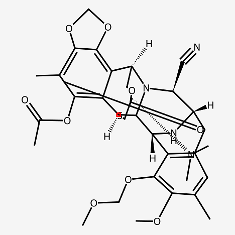 COCOc1c(OC)c(C)cc2c1[C@H]1N[C@@H](C2)[C@H](C#N)N2C1[C@@H]1SC[C@H](N(C)C)C(=O)OC[C@H]2c2c3c(c(C)c(OC(C)=O)c21)OCO3